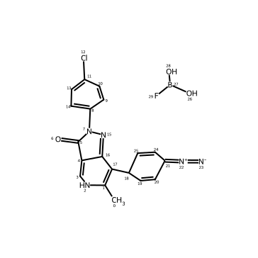 Cc1[nH]cc2c(=O)n(-c3ccc(Cl)cc3)nc-2c1C1C=CC(=[N+]=[N-])C=C1.OB(O)F